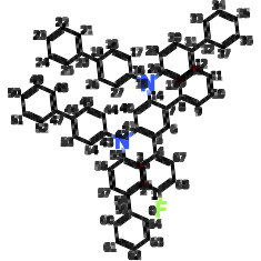 Fc1ccc(-c2cc(-c3ccccc3)c(N(c3ccc(-c4ccccc4)cc3)c3ccc(-c4ccccc4)cc3)cc2N(c2ccc(-c3ccccc3)cc2)c2ccc(-c3ccccc3)cc2)cc1